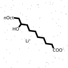 CCCCCCCCCC(O)CCCCCCCC(=O)[O-].[Li+]